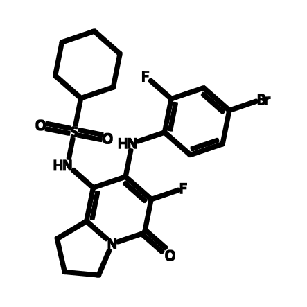 O=c1c(F)c(Nc2ccc(Br)cc2F)c(NS(=O)(=O)C2CCCCC2)c2n1CCC2